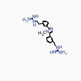 Cn1c(-c2cccc(CCNC(=N)N)c2)cnc1-c1cccc(CCNC(=N)N)c1